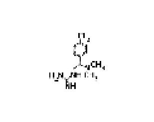 CN(C)C(CNC(=N)N)c1ccc(C(F)(F)F)cc1